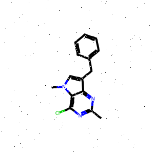 Cc1nc(Cl)c2c(n1)c(Cc1ccccc1)cn2C